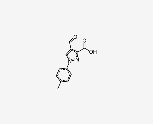 Cc1ccc(-n2cc(C=O)c(C(=O)O)n2)cc1